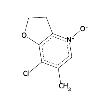 Cc1c[n+]([O-])c2c(c1Cl)OCC2